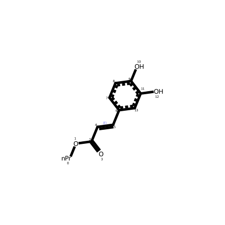 CCCOC(=O)/C=C/c1ccc(O)c(O)c1